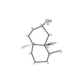 CC1CCC[C@@]2(C)CCC(O)C[C@H]12